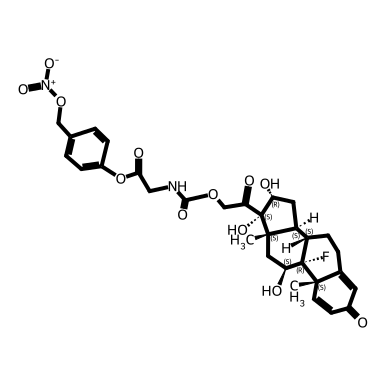 C[C@]12C=CC(=O)C=C1CC[C@H]1[C@@H]3C[C@@H](O)[C@](O)(C(=O)COC(=O)NCC(=O)Oc4ccc(CO[N+](=O)[O-])cc4)[C@@]3(C)C[C@H](O)[C@@]12F